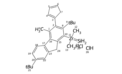 Cc1c(C2=CC=CC2)c(C(C)(C)C)[c]([Zr]([CH3])([CH3])=[SiH2])c2c1-c1ccc(C(C)(C)C)cc1C2.Cl.Cl